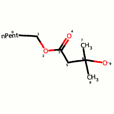 CCCCCCOC(=O)CC(C)(C)[O]